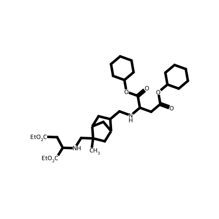 CCOC(=O)CC(NCC1(C)CC2CC1CC2CNC(CC(=O)OC1CCCCC1)C(=O)OC1CCCCC1)C(=O)OCC